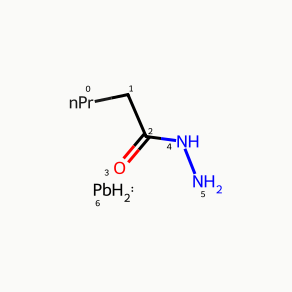 CCCCC(=O)NN.[PbH2]